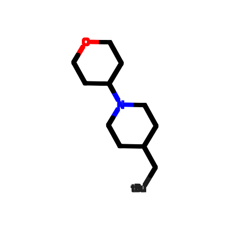 CC(C)(C)CC1CCN(C2CCOCC2)CC1